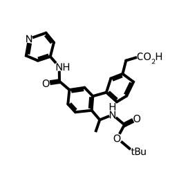 CC(NC(=O)OC(C)(C)C)c1ccc(C(=O)Nc2ccncc2)cc1-c1cccc(CC(=O)O)c1